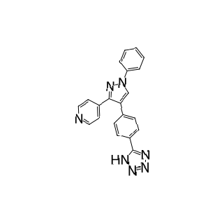 c1ccc(-n2cc(-c3ccc(-c4nnn[nH]4)cc3)c(-c3ccncc3)n2)cc1